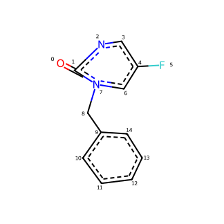 O=c1ncc(F)cn1Cc1ccccc1